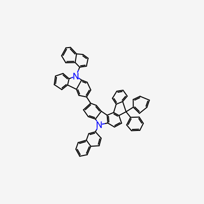 c1ccc(C2(c3ccccc3)c3ccccc3-c3c2ccc2c3c3cc(-c4ccc5c(c4)c4ccccc4n5-c4cccc5ccccc45)ccc3n2-c2ccc3ccccc3c2)cc1